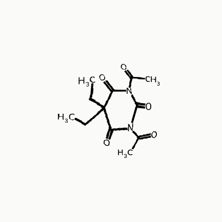 CCC1(CC)C(=O)N(C(C)=O)C(=O)N(C(C)=O)C1=O